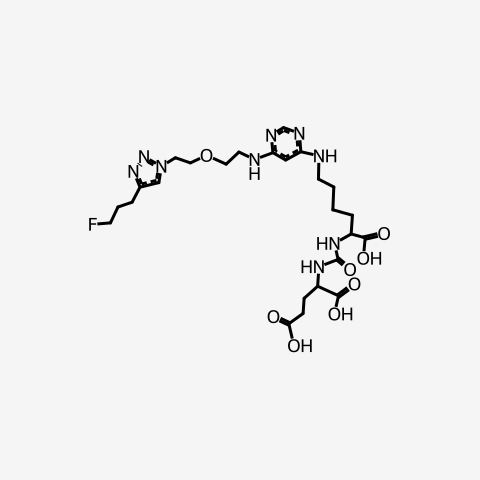 O=C(O)CCC(NC(=O)NC(CCCCNc1cc(NCCOCCn2cc(CCCF)nn2)ncn1)C(=O)O)C(=O)O